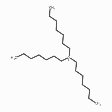 CCCCCCC[SiH](CCCCCCC)CCCCCCC